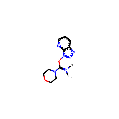 C[N+](C)=C(On1nnc2cccnc21)N1CCOCC1